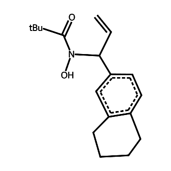 C=CC(c1ccc2c(c1)CCCC2)N(O)C(=O)C(C)(C)C